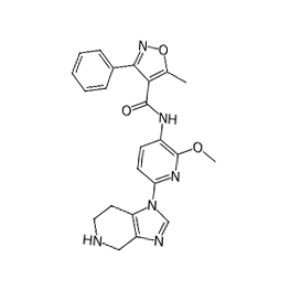 COc1nc(-n2cnc3c2CCNC3)ccc1NC(=O)c1c(-c2ccccc2)noc1C